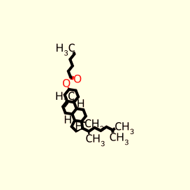 CCCCCC(=O)O[C@H]1CC[C@@]2(C)C(=CC[C@H]3[C@@H]4CC[C@H]([C@H](C)CCCC(C)C)[C@@]4(C)CC[C@@H]32)C1